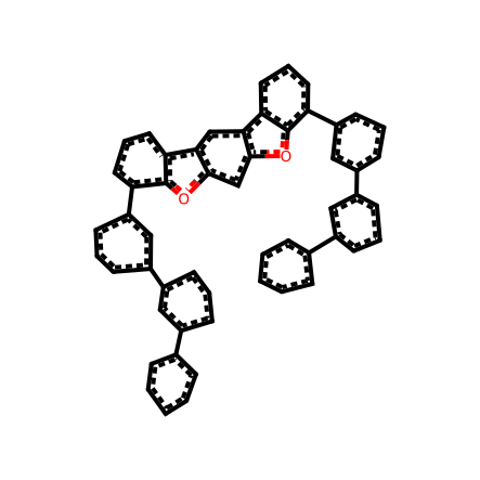 c1ccc(-c2cccc(-c3cccc(-c4cccc5c4oc4cc6oc7c(-c8cccc(-c9cccc(-c%10ccccc%10)c9)c8)cccc7c6cc45)c3)c2)cc1